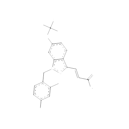 Cc1cc(F)ccc1Cn1nc(C=CC(=O)O)c2ccc(OC(F)(F)F)cc21